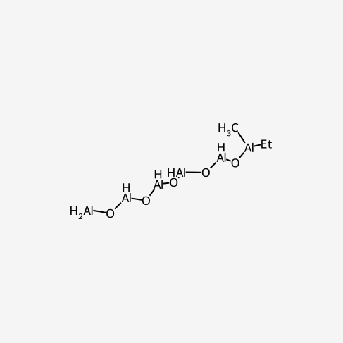 C[CH2][Al]([CH3])[O][AlH][O][AlH][O][AlH][O][AlH][O][AlH2]